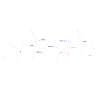 O=c1nc(-c2c(F)cccc2F)oc(=O)n1-c1cc(Cl)c(OC(F)(F)C(F)C(F)(F)F)c(Cl)c1